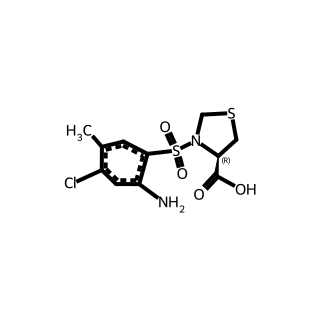 Cc1cc(S(=O)(=O)N2CSC[C@H]2C(=O)O)c(N)cc1Cl